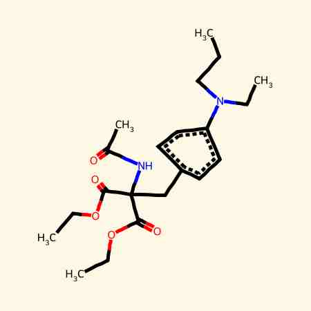 CCCN(CC)c1ccc(CC(NC(C)=O)(C(=O)OCC)C(=O)OCC)cc1